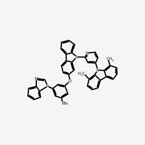 Cc1cccc2c3cccc(C)c3n(-c3ccnc(-n4c5ccccc5c5ccc(Oc6cc(-n7cnc8ccccc87)cc(C(C)(C)C)c6)cc54)c3)c12